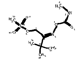 CNC(=O)ON=C(COS(C)(=O)=O)C(C)(C)C